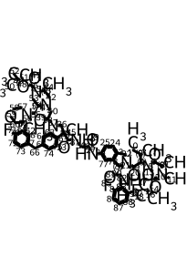 CC[C@H](C)[C@H](NC(=O)[C@H](C)N(C)C(=O)OC(C)(C)C)C(=O)N1Cc2ccc(NC(=O)CNC(=O)[C@]3(C)CN(C(=O)CN4C[C@@H](C)N(C(=O)OC(C)(C)C)C[C@@H]4CN4CCOC[C@H]4C)c4cc(Cc5ccc(F)cc5)ccc43)cc2[C@H]1C(=O)Nc1c(F)cccc1F